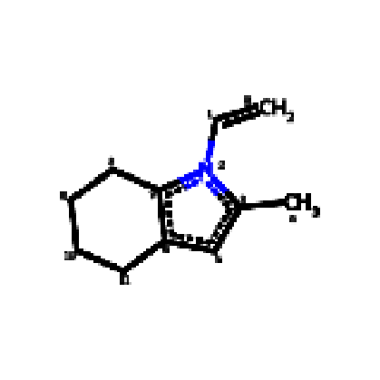 C=Cn1c(C)cc2c1CCCC2